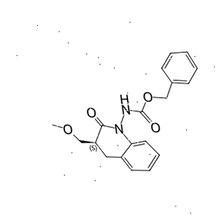 COC[C@@H]1Cc2ccccc2N(NC(=O)OCc2ccccc2)C1=O